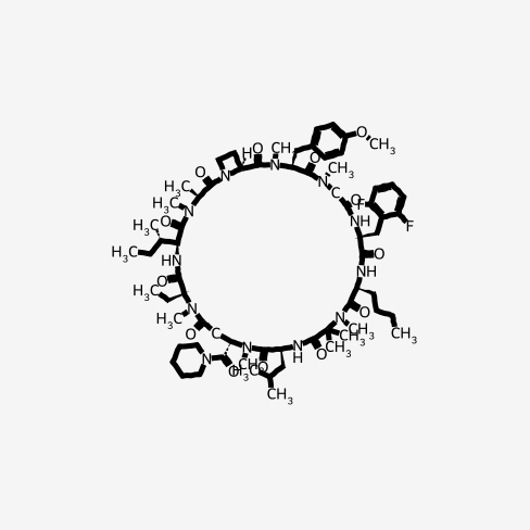 CCCC[C@@H]1NC(=O)[C@H](Cc2c(F)cccc2F)NC(=O)CN(C)C(=O)[C@H](Cc2ccc(OC)cc2)N(C)C(=O)[C@@H]2CCN2C(=O)[C@H](C)N(C)C(=O)[C@H]([C@@H](C)CC)NC(=O)[C@H](CC)N(C)C(=O)C[C@@H](C(=O)N2CCCCC2)N(C)C(=O)[C@H](CC(C)C)NC(=O)C(C)(C)N(C)C1=O